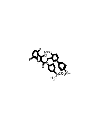 COc1ccc(-c2ccc(C(C)=O)cc2)cc1CN(C(=O)c1sc2c(F)ccc(F)c2c1Cl)C1CCC(N(C)C(=O)O)CC1